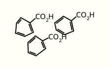 O=C(O)c1ccccc1.O=C(O)c1ccccc1.O=C(O)c1ccccc1